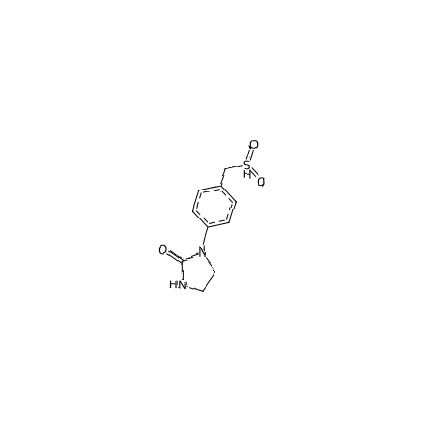 O=C1NCCN1c1ccc(C[SH](=O)=O)cc1